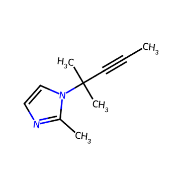 CC#CC(C)(C)n1ccnc1C